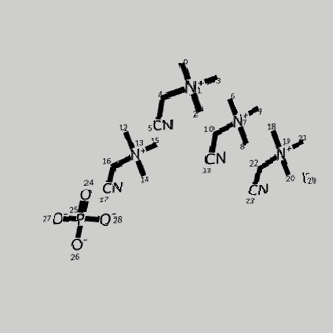 C[N+](C)(C)CC#N.C[N+](C)(C)CC#N.C[N+](C)(C)CC#N.C[N+](C)(C)CC#N.O=P([O-])([O-])[O-].[I-]